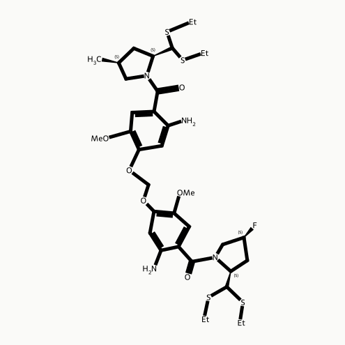 CCSC(SCC)[C@@H]1C[C@H](C)CN1C(=O)c1cc(OC)c(OCOc2cc(N)c(C(=O)N3C[C@@H](F)C[C@H]3C(SCC)SCC)cc2OC)cc1N